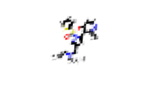 CC(C)(C)CN(Cc1cc(-c2cccnc2C#N)n(S(=O)(=O)c2cccs2)c1)C(=O)O